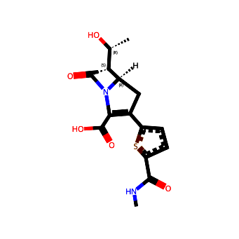 CNC(=O)c1ccc(C2=C(C(=O)O)N3C(=O)[C@H]([C@@H](C)O)[C@H]3C2)s1